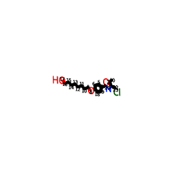 Cc1oc(-c2ccc(OCCCCCCCCO)cc2)nc1CCl